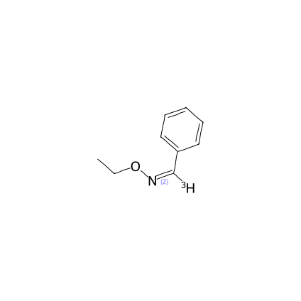 [3H]/C(=N/OCC)c1ccccc1